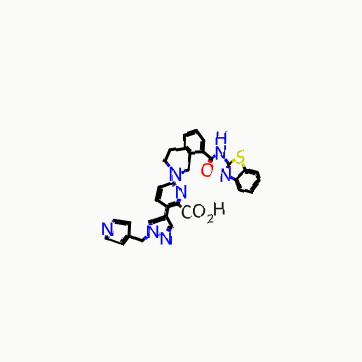 O=C(Nc1nc2ccccc2s1)c1cccc2c1CN(c1ccc(-c3cnn(Cc4ccncc4)c3)c(C(=O)O)n1)CC2